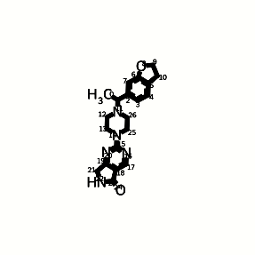 CC(c1ccc2c(c1)OCC2)N1CCN(c2ncc3c(n2)CNC3=O)CC1